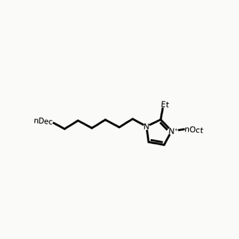 CCCCCCCCCCCCCCCCn1cc[n+](CCCCCCCC)c1CC